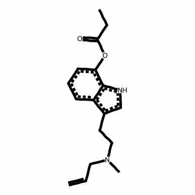 C=CCN(C)CCc1c[nH]c2c(OC(=O)CC)cccc12